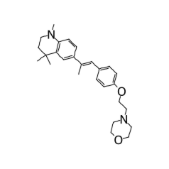 CC(=Cc1ccc(OCCN2CCOCC2)cc1)c1ccc2c(c1)C(C)(C)CCN2C